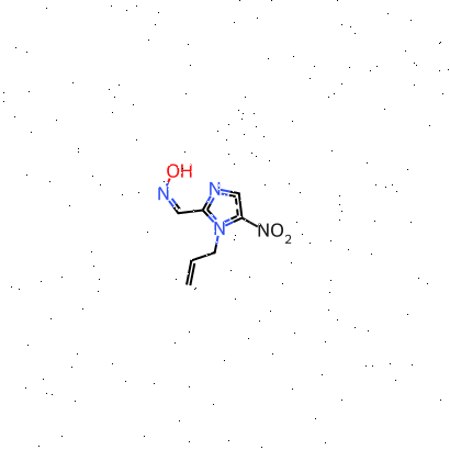 C=CCn1c([N+](=O)[O-])cnc1/C=N\O